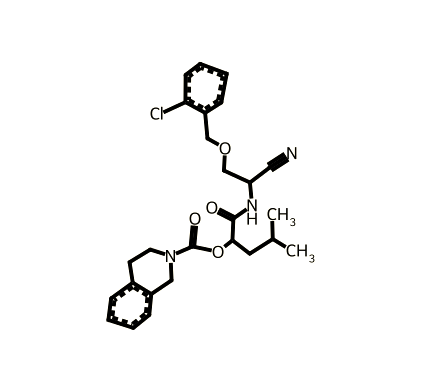 CC(C)CC(OC(=O)N1CCc2ccccc2C1)C(=O)NC(C#N)COCc1ccccc1Cl